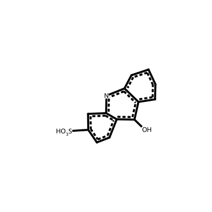 O=S(=O)(O)c1ccc2c(O)c3ccccc3nc2c1